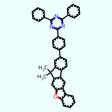 CC1(C)c2cc(-c3ccc(-c4nc(-c5ccccc5)nc(-c5ccccc5)n4)cc3)ccc2-c2cc3c(cc21)oc1ccccc13